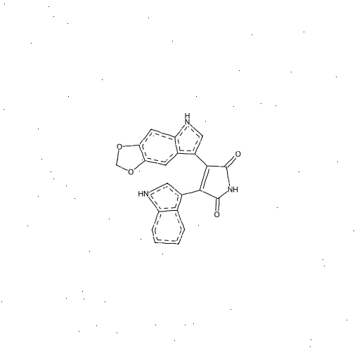 O=C1NC(=O)C(c2c[nH]c3cc4c(cc23)OCO4)=C1c1c[nH]c2ccccc12